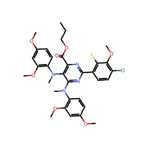 CCCOC(=O)c1nc(-c2ccc(Cl)c(OC)c2F)nc(N(C)c2ccc(OC)cc2OC)c1N(C)c1ccc(OC)cc1OC